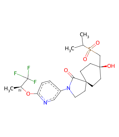 CC(C)S(=O)(=O)C[C@]1(O)CC[C@]2(CCN(c3ccc(O[C@@H](C)C(F)(F)F)nc3)C2=O)CC1